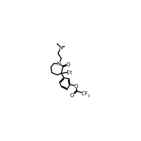 CCC1(c2cccc(OC(=O)C(F)(F)F)c2)CCCCN(CCN(C)C)C1=O